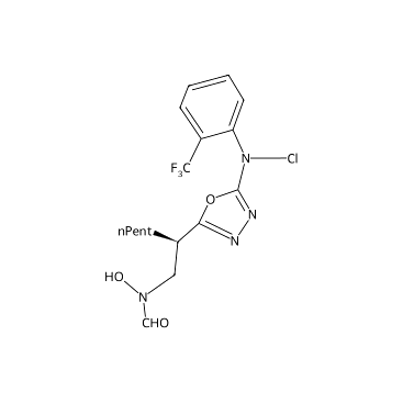 CCCCC[C@H](CN(O)C=O)c1nnc(N(Cl)c2ccccc2C(F)(F)F)o1